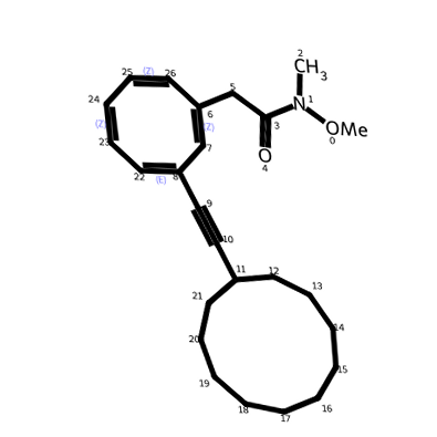 CON(C)C(=O)CC1=C/C(C#CC2CCCCCCCCCC2)=C\C=C/C=C\1